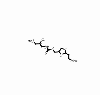 CCCCCCCCCCCCC1OCC(COC(=O)NCC(O)CS(=O)(=O)O)O1